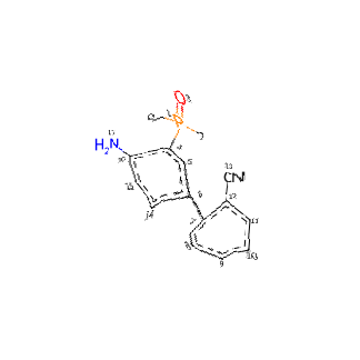 CP(C)(=O)c1cc(-c2ccccc2C#N)ccc1N